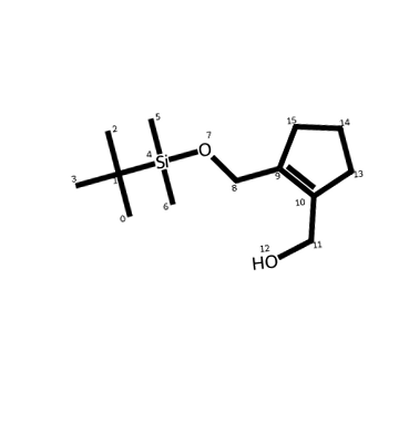 CC(C)(C)[Si](C)(C)OCC1=C(CO)CCC1